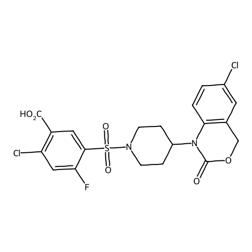 O=C(O)c1cc(S(=O)(=O)N2CCC(N3C(=O)OCc4cc(Cl)ccc43)CC2)c(F)cc1Cl